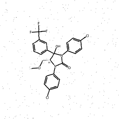 COC[C@H]1N(c2ccc(Cl)cc2)C(=O)N(c2ccc(Cl)cc2)C1(O)c1cccc(C(F)(F)F)c1